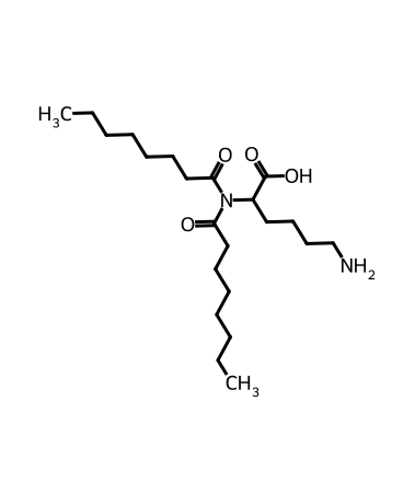 CCCCCCCC(=O)N(C(=O)CCCCCCC)C(CCCCN)C(=O)O